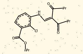 CCCOC(=O)c1cccc(NC=C(C(=O)C(C)C)C(=O)C(C)C)c1Cl